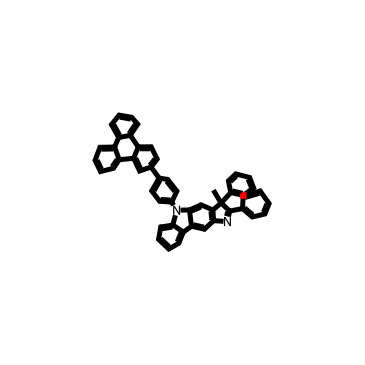 CC1(c2ccccc2)C(c2ccccc2)=Nc2cc3c4ccccc4n(-c4ccc(-c5ccc6c7ccccc7c7ccccc7c6c5)cc4)c3cc21